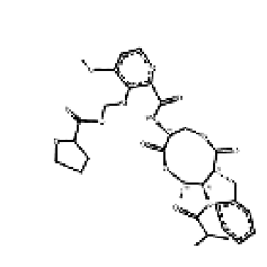 COc1ccnc(C(=O)N[C@H]2COC(=O)[C@H](Cc3ccccc3)[C@@H](OC(=O)C(C)C)[C@H](C)OC2=O)c1OCOC(=O)C1CCCO1